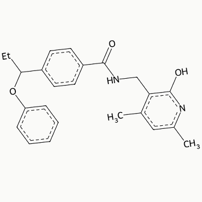 CCC(Oc1ccccc1)c1ccc(C(=O)NCc2c(C)cc(C)nc2O)cc1